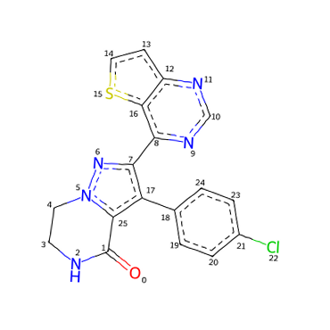 O=C1NCCn2nc(-c3ncnc4ccsc34)c(-c3ccc(Cl)cc3)c21